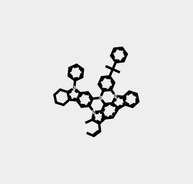 C/C=C\c1c(C)n2c3c4c5c(cc13)c1ccccc1n5-c1cc(C(C)(C)c3ccccc3)ccc1B4c1cc3c(cc1-2)c1c(n3-c2ccccc2)CCCC1